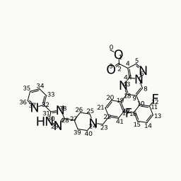 COC(=O)c1cnn2cc(-c3c(F)cccc3F)c(-c3ccc(CN4CCC(c5n[nH]c(-c6ccccn6)n5)CC4)cc3)nc12